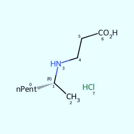 CCCCC[C@@H](C)NCCC(=O)O.Cl